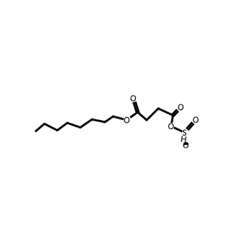 CCCCCCCCOC(=O)CCC(=O)O[SH](=O)=O